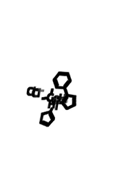 [CH3][GeH]([CH3])[Hf+2]([C]1=CC=CC1)[C]1=C(c2ccccc2)C=CC1.[Cl-].[Cl-]